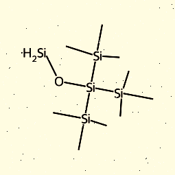 C[Si](C)(C)[Si](O[SiH2])([Si](C)(C)C)[Si](C)(C)C